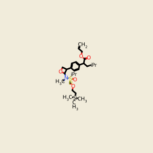 C=CCOC(=O)C(CC(C)C)c1ccc(C2COC2N(C)[SH](=O)(COCC[Si](C)(C)C)C(C)C)cc1